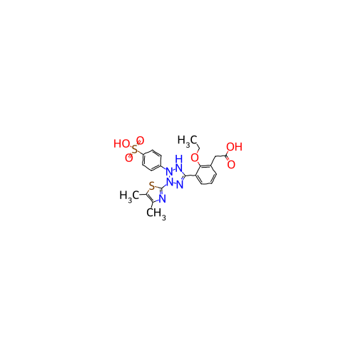 CCOc1c(CC(=O)O)cccc1C1=NN(c2nc(C)c(C)s2)N(c2ccc(S(=O)(=O)O)cc2)N1